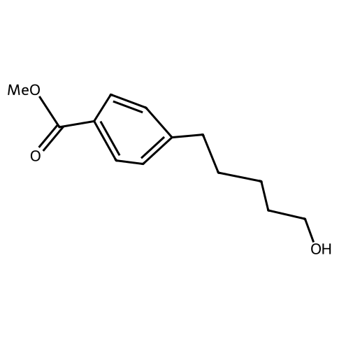 COC(=O)c1ccc(CCCCCO)cc1